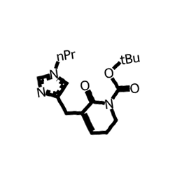 CCCn1cnc(CC2=CCCN(C(=O)OC(C)(C)C)C2=O)c1